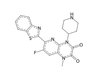 Cn1c(=O)c(=O)n(C2CCNCC2)c2nc(-c3nc4ccccc4s3)c(F)cc21